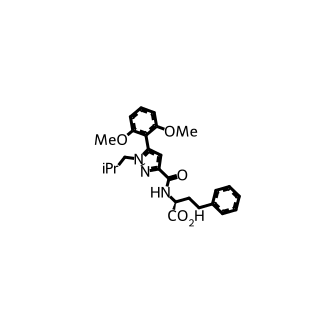 COc1cccc(OC)c1-c1cc(C(=O)N[C@@H](CCc2ccccc2)C(=O)O)nn1CC(C)C